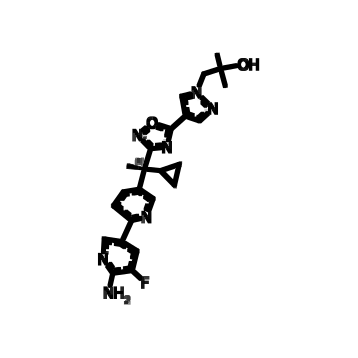 CC(C)(O)Cn1cc(-c2nc([C@@](C)(c3ccc(-c4cnc(N)c(F)c4)nc3)C3CC3)no2)cn1